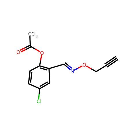 C#CCON=Cc1cc(Cl)ccc1OC(=O)C(Cl)(Cl)Cl